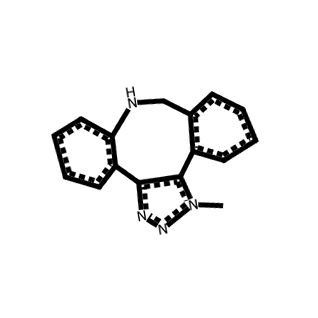 Cn1nnc2c1-c1ccccc1CNc1ccccc1-2